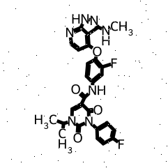 CNc1n[nH]c2nccc(Oc3ccc(NC(=O)c4cn(C(C)C)c(=O)n(-c5ccc(F)cc5)c4=O)cc3F)c12